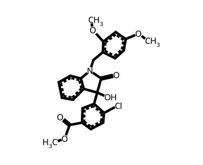 COC(=O)c1ccc(Cl)c(C2(O)C(=O)N(Cc3ccc(OC)cc3OC)c3ccccc32)c1